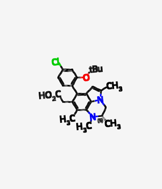 Cc1c(CC(=O)O)c(-c2ccc(Cl)cc2OC(C)(C)C)c2cc(C)n3c2c1N(C)[C@@H](C)C3